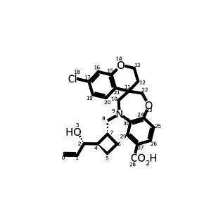 C=C[C@H](O)[C@@H]1CC[C@H]1CN1CC2(CCOc3cc(Cl)ccc32)COc2ccc(C(=O)O)cc21